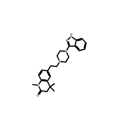 CN1C(=O)CC(C)(C)c2cc(CCN3CCN(c4n[nH]c5ccccc45)CC3)ccc21